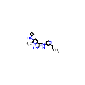 CCCc1cc(N/C=C(\C=N)c2ccc(NC3CCC3)c(C)n2)ccn1